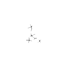 FC(F)(Cl)COC1(F)OC(F)(F)OC1OC(F)(F)F